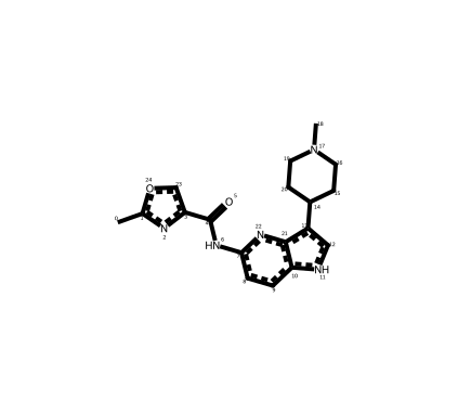 Cc1nc(C(=O)Nc2ccc3[nH]cc(C4CCN(C)CC4)c3n2)co1